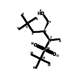 CN([C@@H](CO)CC(C)(C)C)S(=O)(=O)C(C)(C)C